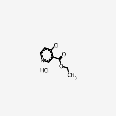 CCOC(=O)c1cnccc1Cl.Cl